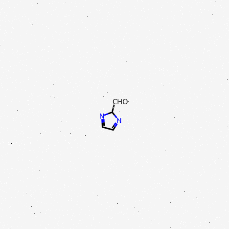 O=[C]C1N=CC=N1